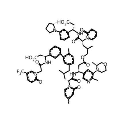 Cc1ccn([C@H](CC(C)Cc2ccc(C)c(-c3cccc([C@H](CC(=O)O)NC(=O)Cn4cc(C(F)(F)F)ccc4=O)c3)c2)C(=O)N[C@@H](CC(=O)OCC(C)C[C@H](C(=O)N[C@@H](CC(=O)O)c2cccc(N3CCC[C@@H]3C)c2)n2ccccc2=O)c2cnc(C)c(N3CCOC[C@@H]3C)c2)c(=O)c1